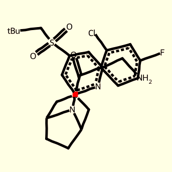 CC(C)(C)CS(=O)(=O)c1cc(CN)nc(N2C3CCC2CN(C(=O)c2ccc(F)cc2Cl)C3)c1